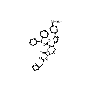 CC(=O)Nc1ccc(-c2ncc(C3=C(C(=O)OC(c4ccccc4)c4ccccc4)N4C(=O)C(NC(=O)Cc5cccs5)C4SC3)s2)cc1